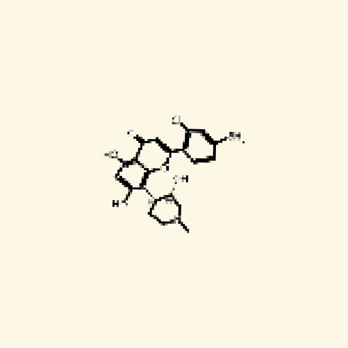 Bc1ccc(-c2cc(=O)c3c(O)cc(O)c([C@H]4CCN(C)C[C@H]4O)c3o2)c(Cl)c1